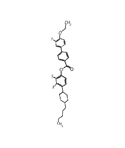 CCCCCC1CCC(c2ccc(OC(=O)c3ccc(-c4ccc(OCC)c(F)c4)cc3)c(F)c2F)CC1